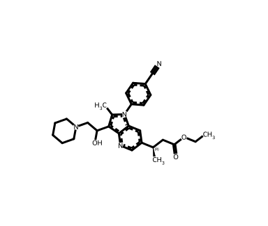 CCOC(=O)C[C@@H](C)c1cnc2c(C(O)CN3CCCCC3)c(C)n(-c3ccc(C#N)cc3)c2c1